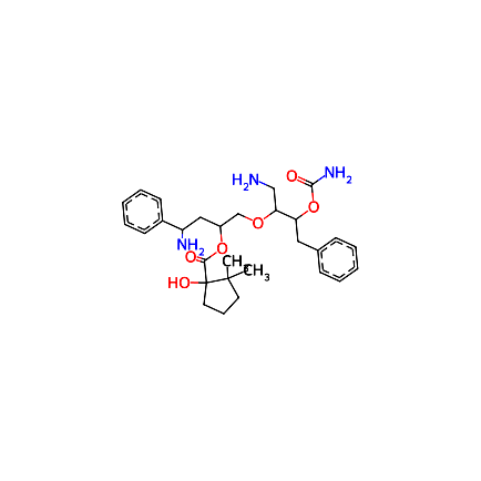 CC1(C)CCCC1(O)C(=O)OC(COC(CN)C(Cc1ccccc1)OC(N)=O)CC(N)c1ccccc1